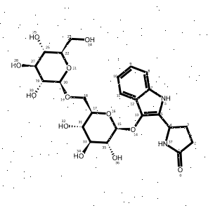 O=C1CCC(c2[nH]c3ccccc3c2O[C@@H]2O[C@H](CO[C@@H]3O[C@H](CO)[C@@H](O)[C@H](O)[C@H]3O)[C@@H](O)[C@H](O)[C@H]2O)N1